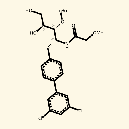 CCCCO[C@@H]([C@@H](O)CO)[C@@H](Cc1ccc(-c2cc(Cl)cc(Cl)c2)cc1)NC(=O)COC